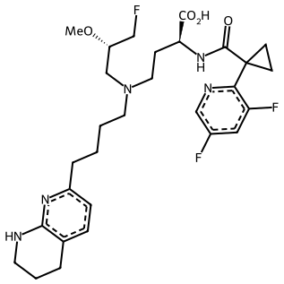 CO[C@H](CF)CN(CCCCc1ccc2c(n1)NCCC2)CC[C@H](NC(=O)C1(c2ncc(F)cc2F)CC1)C(=O)O